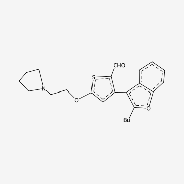 CCC(C)c1oc2ccccc2c1-c1cc(OCCN2CCCC2)sc1C=O